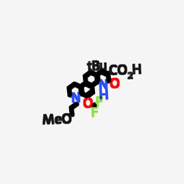 COCCCN1CCCc2c3c(cc(OC(F)F)c21)-c1[nH]c(=O)c(C(=O)O)cc1C(C(C)(C)C)C3